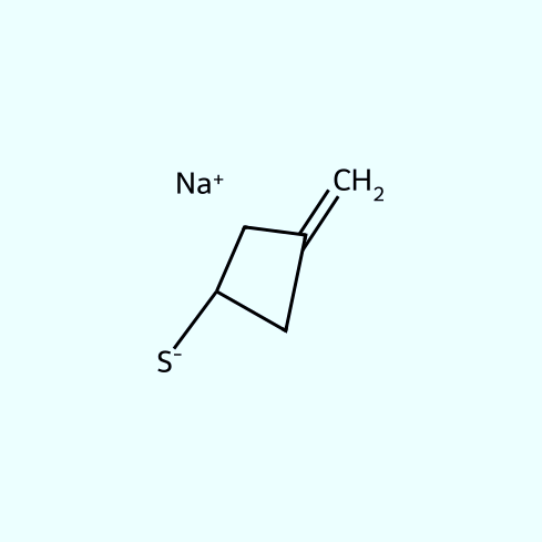 C=C1CC([S-])C1.[Na+]